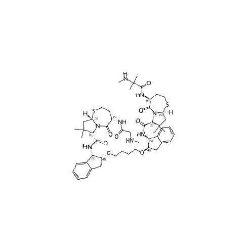 CNCC(=O)N[C@H]1CCS[C@H]2CC(C)(C)[C@@H](C(=O)N[C@H]3c4ccccc4C[C@H]3OCCCCO[C@@H]3Cc4ccccc4[C@@H]3NC(=O)[C@H]3N4C(=O)[C@@H](NC(=O)C(C)(C)NC)CCS[C@H]4CC3(C)C)N2C1=O